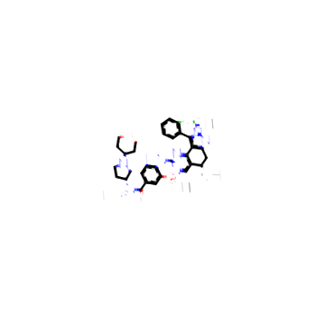 COc1cc(C(=O)N(C)[C@@H]2CCN(C3CCOCC3)C2)ccc1Nc1ncc2c(n1)-c1c(nn(C)c1-c1ccccc1Cl)CC2C